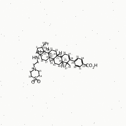 CC(C)[C@@H]1CC[C@]2(NCCN3CCS(=O)(=O)CC3)CC[C@]3(C)[C@H](CC[C@@H]4[C@@]5(C)CC=C(c6ccc(C(=O)O)cc6)C(C)(C)[C@@H]5CC[C@]43C)[C@@H]12